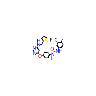 Cc1ccc(NC(=O)Nc2ccc(Oc3cc(NCc4cccs4)ncn3)cc2)cc1C(F)(F)F